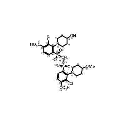 COC1CCN(c2c(S(C)(=O)=O)ccc(C(=O)O)c2Cl)CC1.CS(=O)(=O)c1ccc(C(=O)O)c(Cl)c1N1CCC(O)CC1